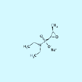 CCN(CC)P(=O)([O-])[C@@H]1O[C@@H]1C.[Na+]